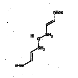 CCCCCCC=C[SiH2]O[SiH2]C=CCCCCCC.I